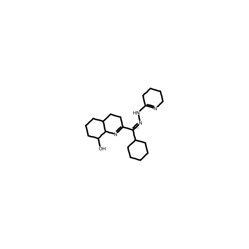 OC1CCCC2CCC(/C(=N\NC3=NCCCC3)C3CCCCC3)=NC12